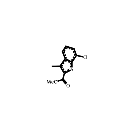 COC(=O)c1sc2c(Cl)cccc2c1C